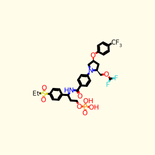 CCS(=O)(=O)c1ccc(C(CCOP(=O)(O)O)NC(=O)c2ccc(N3C[C@@H](Oc4ccc(C(F)(F)F)cc4)C[C@H]3COC(F)F)cc2)cc1